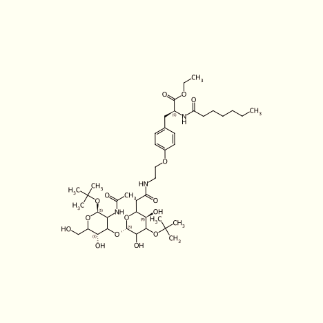 CCCCCCC(=O)N[C@@H](Cc1ccc(OCCNC(=O)CC2O[C@@H](OC3C(NC(C)=O)[C@H](OC(C)(C)C)OC(CO)[C@H]3O)C(O)C(OC(C)(C)C)[C@@H]2O)cc1)C(=O)OCC